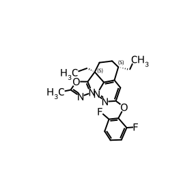 CC[C@H]1CC[C@](CC)(c2nnc(C)o2)c2nnc(Oc3c(F)cccc3F)cc21